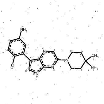 CC1(N)CCN(c2cnc3c(-c4cc(N)ccc4Cl)n[nH]c3n2)CC1